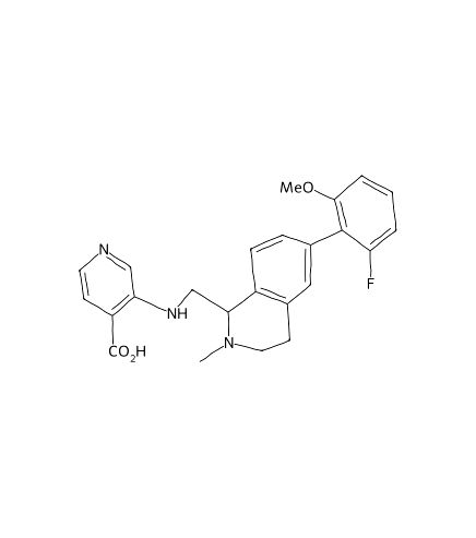 COc1cccc(F)c1-c1ccc2c(c1)CCN(C)C2CNc1cnccc1C(=O)O